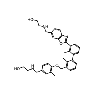 Cc1cc(CNCCO)ccc1OCc1cccc(-c2cccc(-c3nc4ccc(CNCCO)cc4o3)c2C)c1C